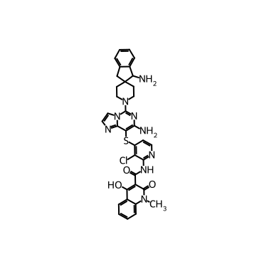 Cn1c(=O)c(C(=O)Nc2nccc(Sc3c(N)nc(N4CCC5(CC4)Cc4ccccc4C5N)n4ccnc34)c2Cl)c(O)c2ccccc21